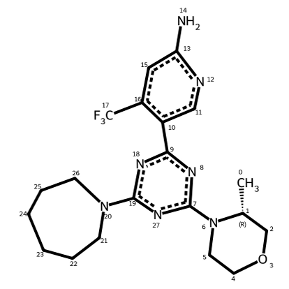 C[C@@H]1COCCN1c1nc(-c2cnc(N)cc2C(F)(F)F)nc(N2CCCCCC2)n1